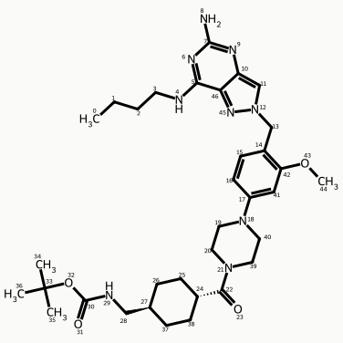 CCCCNc1nc(N)nc2cn(Cc3ccc(N4CCN(C(=O)[C@H]5CC[C@H](CNC(=O)OC(C)(C)C)CC5)CC4)cc3OC)nc12